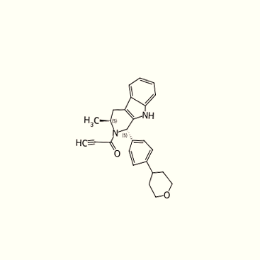 C#CC(=O)N1[C@@H](c2ccc(C3CCOCC3)cc2)c2[nH]c3ccccc3c2C[C@@H]1C